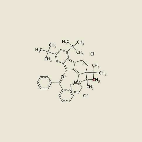 CC(C)(C)c1cc([Si](C)(C)C)c2c(c1)=[C]([Zr+2]=[C](c1ccccc1)c1ccccc1)C1=C(C3=CC=CC3)C(C(C)(C)C)([Si](C)(C)C)C=CC=21.[Cl-].[Cl-]